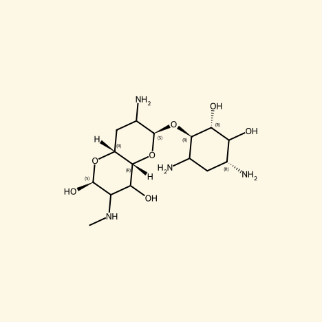 CNC1C(O)[C@H]2O[C@H](O[C@@H]3C(N)C[C@@H](N)C(O)[C@H]3O)C(N)C[C@H]2O[C@@H]1O